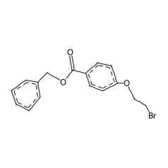 O=C(OCc1ccccc1)c1ccc(OCCBr)cc1